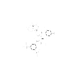 Cc1cc(F)ccc1[C@H]1C[C@@]2(CCN1C(=O)N(C)[C@H](C)c1cc(C(F)(F)F)cc(C(F)(F)F)c1)CC[C@@]1(C)COCCN12